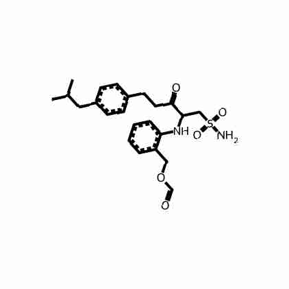 CC(C)Cc1ccc(CCC(=O)C(CS(N)(=O)=O)Nc2ccccc2COC=O)cc1